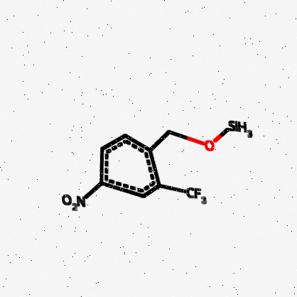 O=[N+]([O-])c1ccc(CO[SiH3])c(C(F)(F)F)c1